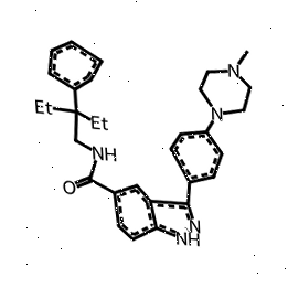 CCC(CC)(CNC(=O)c1ccc2[nH]nc(-c3ccc(N4CCN(C)CC4)cc3)c2c1)c1ccccc1